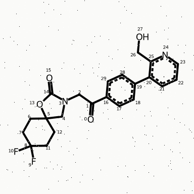 O=C(CN1CC2(CCC(F)(F)CC2)OC1=O)c1ccc(-c2cccnc2CO)cc1